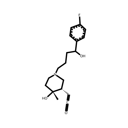 C[C@@]1(O)CCN(CCCC(O)c2ccc(F)cc2)C[C@@H]1C=C=O